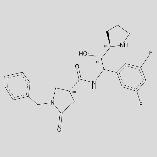 O=C(NC(c1cc(F)cc(F)c1)[C@H](O)[C@H]1CCCN1)[C@@H]1CC(=O)N(Cc2ccccc2)C1